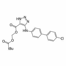 CC(C)(C)C(=O)OCOC(=O)c1[nH]nnc1Nc1ccc(-c2ccc(Cl)cc2)cc1